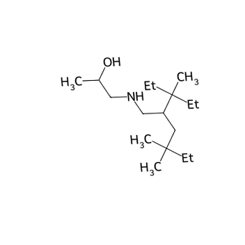 CCC(C)(C)CC(CNCC(C)O)C(C)(CC)CC